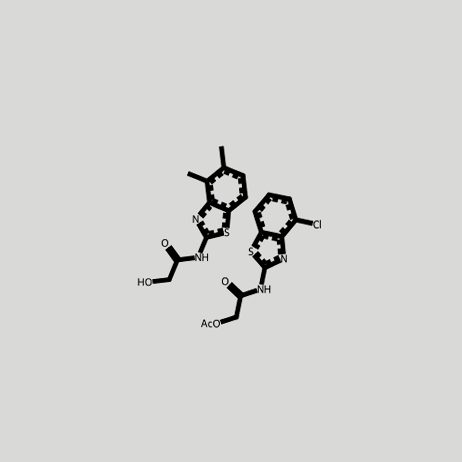 CC(=O)OCC(=O)Nc1nc2c(Cl)cccc2s1.Cc1ccc2sc(NC(=O)CO)nc2c1C